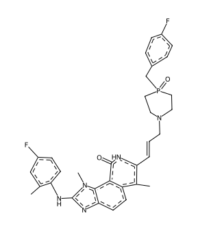 Cc1cc(F)ccc1Nc1nc2ccc3c(C)c(C=CCN4CCP(=O)(Cc5ccc(F)cc5)CC4)[nH]c(=O)c3c2n1C